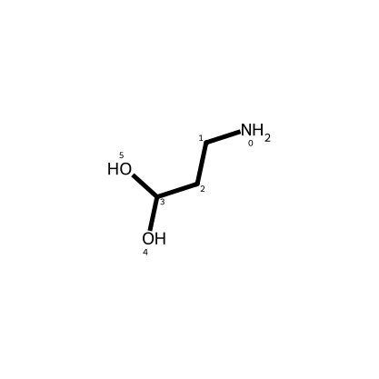 NCCC(O)O